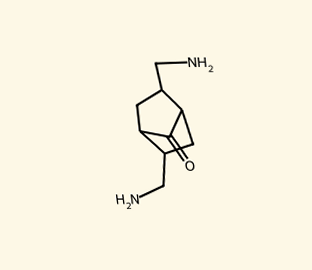 NCC1CC2C(=O)C1CC2CN